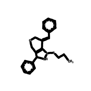 CCCSN1NC(c2ccccc2)C2=C1C(=Cc1ccccc1)COC2